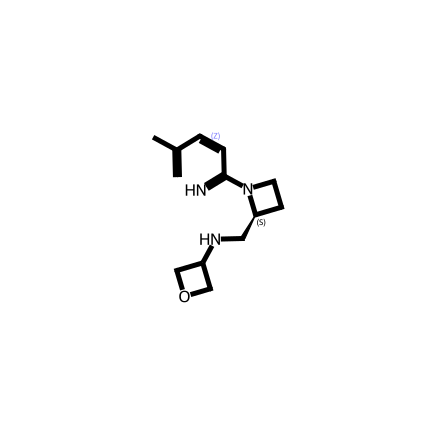 C=C(C)/C=C\C(=N)N1CC[C@H]1CNC1COC1